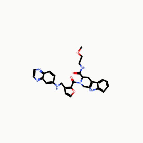 COCCNC(=O)C1Cc2c([nH]c3ccccc23)CN1C(=O)c1occc1CNc1ccc2nccnc2c1